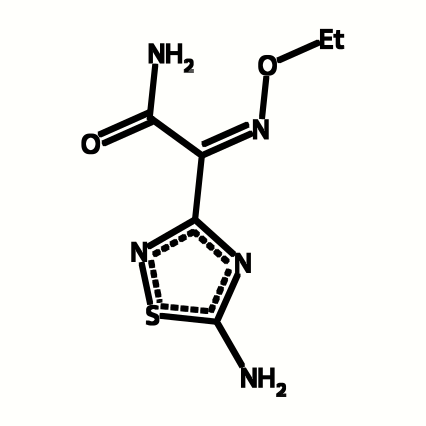 CCO/N=C(\C(N)=O)c1nsc(N)n1